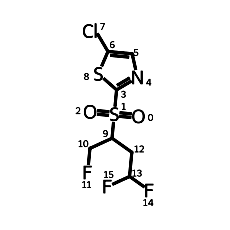 O=S(=O)(c1ncc(Cl)s1)C(CF)CC(F)F